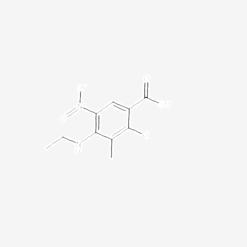 CCNc1c([N+](=O)[O-])cc(C(=O)O)c(Cl)c1C